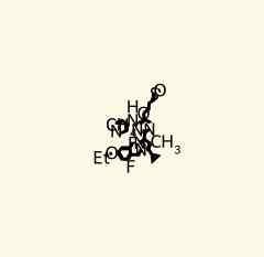 C.CCOc1cc(F)c(Cn2nc(-c3ncc(OCCC=S=O)c(Nc4ccncc4)n3)c(C)c2C2CC2)c(F)c1